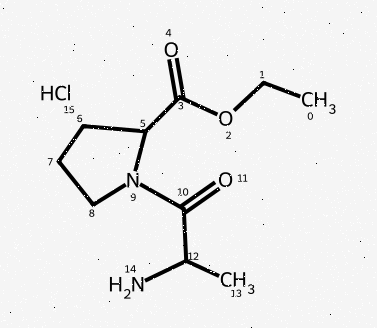 CCOC(=O)C1CCCN1C(=O)C(C)N.Cl